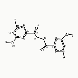 COc1cc(C)cc(C(=O)CCC(=O)c2cc(C)nc(OC)c2)c1